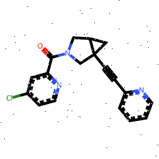 O=C(c1cc(Cl)ccn1)N1CC2CC2(C#Cc2ccccn2)C1